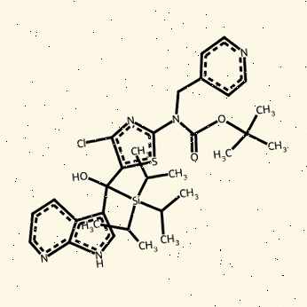 CC(C)[Si](C(C)C)(C(C)C)C(O)(c1sc(N(Cc2ccncc2)C(=O)OC(C)(C)C)nc1Cl)c1c[nH]c2ncccc12